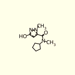 CN(C(=O)c1cc(O)nn1C)C1CCCC1